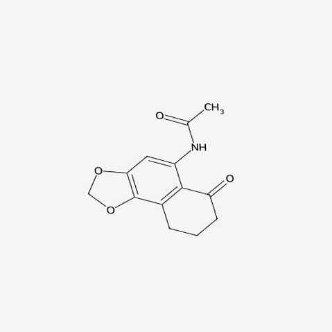 CC(=O)Nc1cc2c(c3c1C(=O)CCC3)OCO2